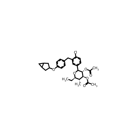 CC[C@H]1OC(c2ccc(Cl)c(Cc3ccc(OC4CC5CC5C4)cc3)c2)[C@H](OC(C)=O)[C@@H](OC(C)=O)[C@@H]1C